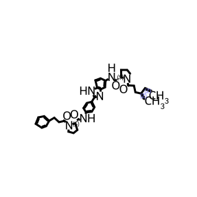 C/C=C\C(=C/C)CCC(=O)N1CCC[C@H]1C(=O)Nc1ccc2[nH]c(-c3ccc(NC(=O)[C@@H]4CCCN4C(=O)CCc4ccccc4)cc3)nc2c1